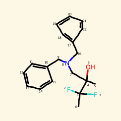 CC(F)(F)C(C)(O)CN(Cc1ccccc1)Cc1ccccc1